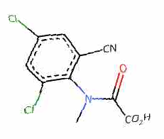 CN(C(=O)C(=O)O)c1c(Cl)cc(Cl)cc1C#N